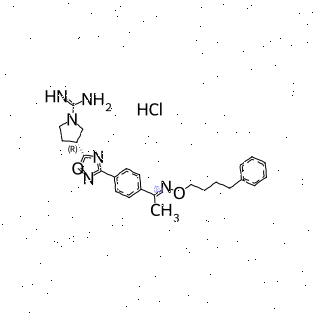 C/C(=N\OCCCCc1ccccc1)c1ccc(-c2noc([C@@H]3CCN(C(=N)N)C3)n2)cc1.Cl